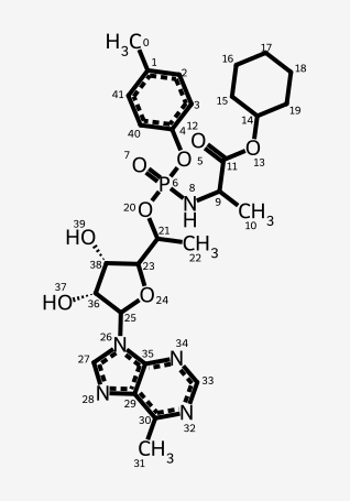 Cc1ccc(OP(=O)(NC(C)C(=O)OC2CCCCC2)OC(C)C2OC(n3cnc4c(C)ncnc43)[C@H](O)[C@@H]2O)cc1